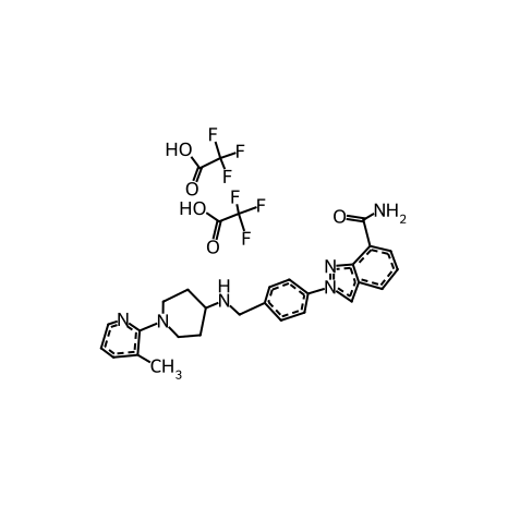 Cc1cccnc1N1CCC(NCc2ccc(-n3cc4cccc(C(N)=O)c4n3)cc2)CC1.O=C(O)C(F)(F)F.O=C(O)C(F)(F)F